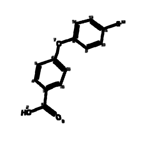 O=C(O)c1ccc(Oc2ccc([S])cc2)cc1